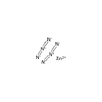 [N-]=[N+]=[N-].[N-]=[N+]=[N-].[Zn+2]